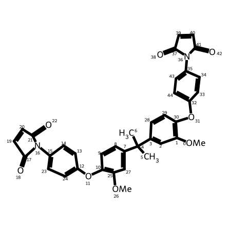 COc1cc(C(C)(C)c2ccc(Oc3ccc(N4C(=O)C=CC4=O)cc3)c(OC)c2)ccc1Oc1ccc(N2C(=O)C=CC2=O)cc1